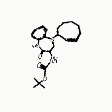 CC(C)(C)OC(=O)NC1CN(C2C=CCCCCC2)c2ccccc2NC1=O